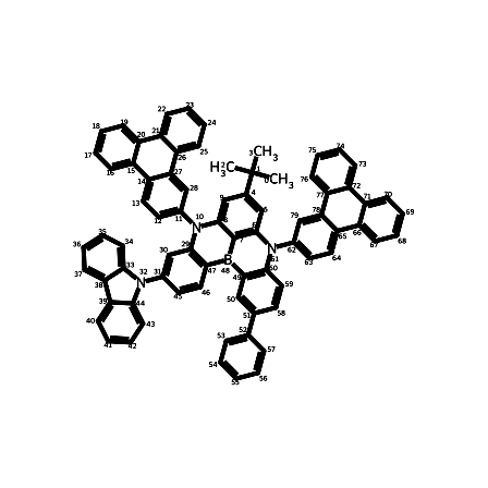 CC(C)(C)c1cc2c3c(c1)N(c1ccc4c5ccccc5c5ccccc5c4c1)c1cc(-n4c5ccccc5c5ccccc54)ccc1B3c1cc(-c3ccccc3)ccc1N2c1ccc2c3ccccc3c3ccccc3c2c1